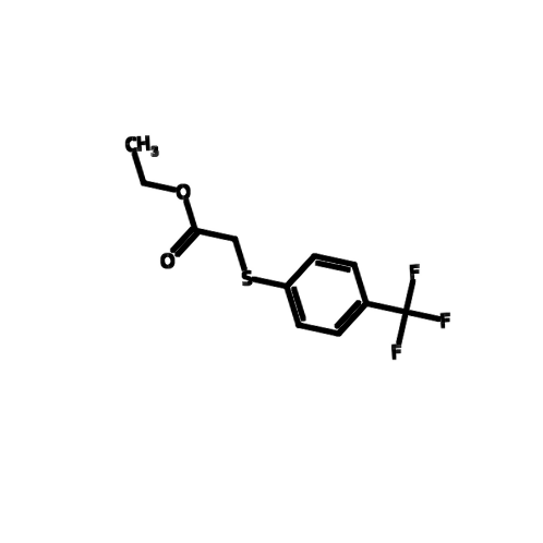 CCOC(=O)CSc1ccc(C(F)(F)F)cc1